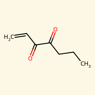 C=CC(=O)C(=O)CCC